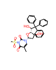 Cc1cn([C@H]2C[C@H](O)[C@@H](C(O)C(c3ccccc3)(c3ccccc3)c3ccccc3)O2)c(=O)n(S(C)(=O)=O)c1=O